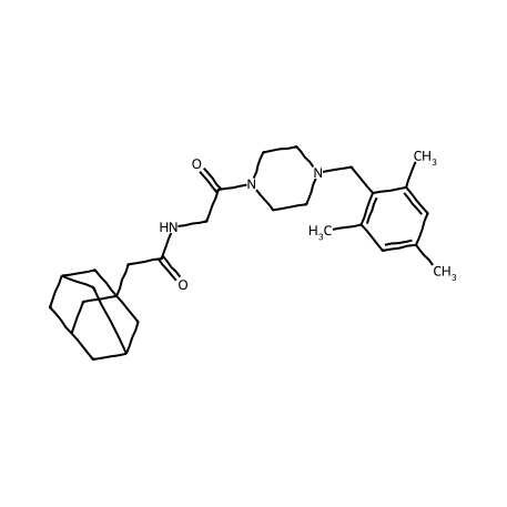 Cc1cc(C)c(CN2CCN(C(=O)CNC(=O)CC34CC5CC(CC(C5)C3)C4)CC2)c(C)c1